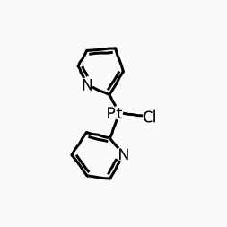 [Cl][Pt]([c]1ccccn1)[c]1ccccn1